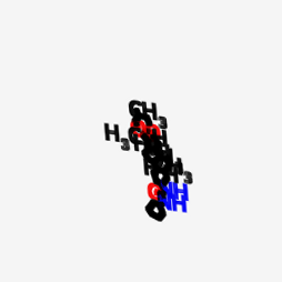 CC1CC[C@@]2(OC1)O[C@H]1C[C@H]3[C@@H]4CC[C@H]5C[C@H](NC(=O)NC6CCCCC6)CC[C@]5(C)[C@H]4CC[C@]3(C)[C@H]1[C@@H]2C